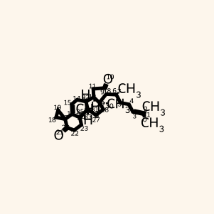 CC(C)=CCC[C@@H](C)[C@H]1C(=O)C[C@H]2[C@@H]3CC=C4C5(CC5)C(=O)CC[C@]4(C)[C@H]3CC[C@]12C